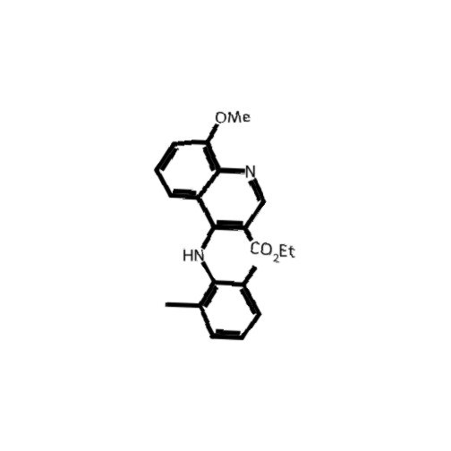 CCOC(=O)c1cnc2c(OC)cccc2c1Nc1c(C)cccc1C